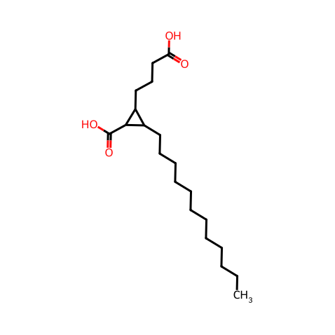 CCCCCCCCCCCCC1C(CCCC(=O)O)C1C(=O)O